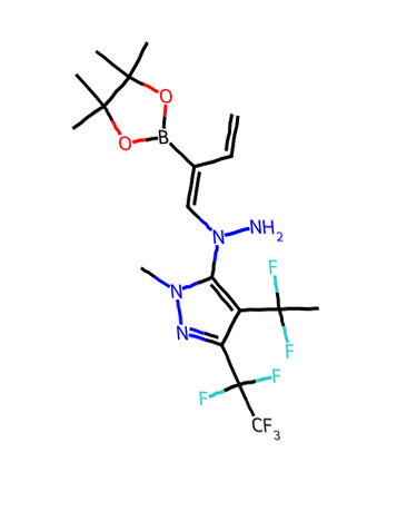 C=C/C(=C\N(N)c1c(C(C)(F)F)c(C(F)(F)C(F)(F)F)nn1C)B1OC(C)(C)C(C)(C)O1